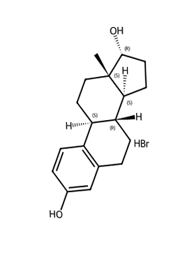 Br.C[C@]12CC[C@@H]3c4ccc(O)cc4CC[C@H]3[C@@H]1CC[C@H]2O